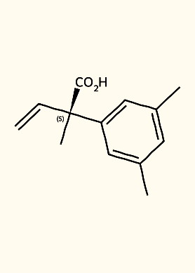 C=C[C@](C)(C(=O)O)c1cc(C)cc(C)c1